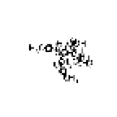 CS(=O)(=O)O.Cc1ccc(C(=O)OCc2cc(C(O)CNC(C)(C)C)ccc2OC(=O)c2ccc(C)cc2)cc1